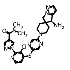 CN(C)C(=O)c1cnn(-c2nccc(Sc3cnc(N4CCC5(CC4)Cn4nccc4[C@H]5N)cn3)c2Cl)c1